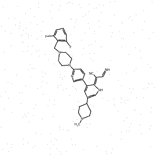 CN1CCC(C2=CN/C(=C(/C#N)C=N)C(c3ccc(N4CCN(Cc5c(F)cccc5F)CC4)nc3)=C2)CC1